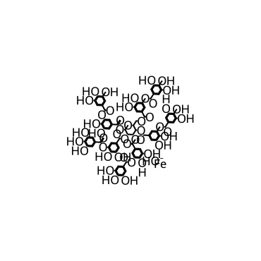 O=C(OCC1OC(OC(=O)c2cc(O)c(O)c(OC(=O)c3cc(O)c(O)c(O)c3)c2)C(OC(=O)c2cc(O)c(O)c(OC(=O)c3cc(O)c(O)c(O)c3)c2)C(OC(=O)c2cc(O)c(O)c(OC(=O)c3cc(O)c(O)c(O)c3)c2)C1OC(=O)c1cc(O)c(O)c(OC(=O)c2cc(O)c(O)c(O)c2)c1)c1cc(O)c(O)c(OC(=O)c2cc(O)c(O)c(O)c2)c1.[Fe].[OH-]